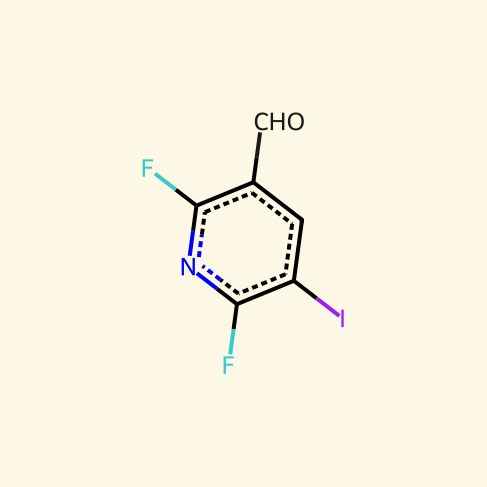 O=Cc1cc(I)c(F)nc1F